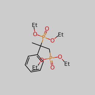 CCOP(=O)(CC(C)(c1ccccc1)P(=O)(OCC)OCC)OCC